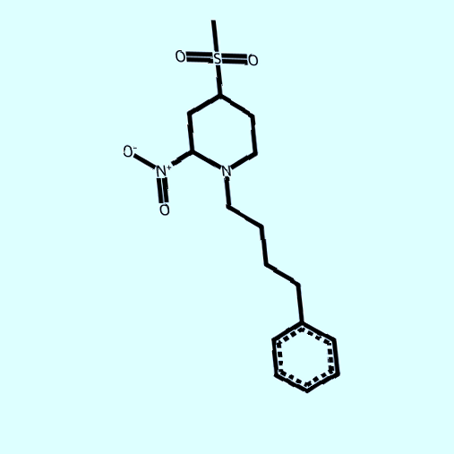 CS(=O)(=O)[C]1CCN(CCCCc2ccccc2)C([N+](=O)[O-])C1